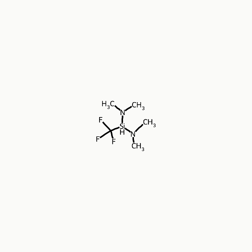 CN(C)[SiH](N(C)C)C(F)(F)F